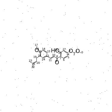 COCOc1ccc(C(=O)C=Cc2ccc(OC)c(CC=C(C)C)c2)c(O)c1